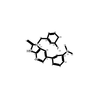 C=C1Nc2ncc(-c3cccc(N(C)C)c3)cc2N1CC1=CC(F)CC=C1